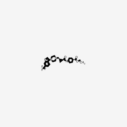 CCOC(=O)[C@H]1CC[C@H](NC(=O)[C@@H]2C[C@H]2CN2CCN(c3csc4cc(C(F)(F)F)ccc34)CC2)CC1